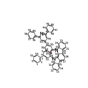 c1ccc(-c2cccc(-n3c4ccccc4c4ccc5c6ccccc6n(-c6cccc(-c7cc(-c8ccccc8)nc(-c8ccccc8)c7)c6)c5c43)c2)cc1